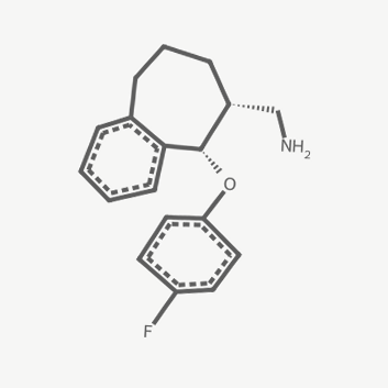 NC[C@H]1CCCc2ccccc2[C@H]1Oc1ccc(F)cc1